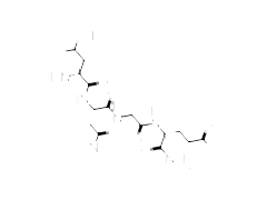 CC(C)C[C@H](N)C(=O)N[C@@H](CC(N)=O)C(=O)NCC(=O)N[C@@H](CCC(=O)O)C(N)=O